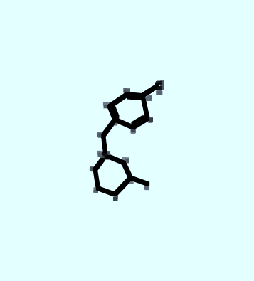 CC1CCCN(Cc2ccc(Cl)cc2)C1